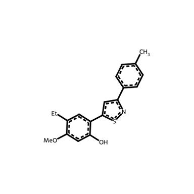 CCc1cc(-c2cc(-c3ccc(C)cc3)ns2)c(O)cc1OC